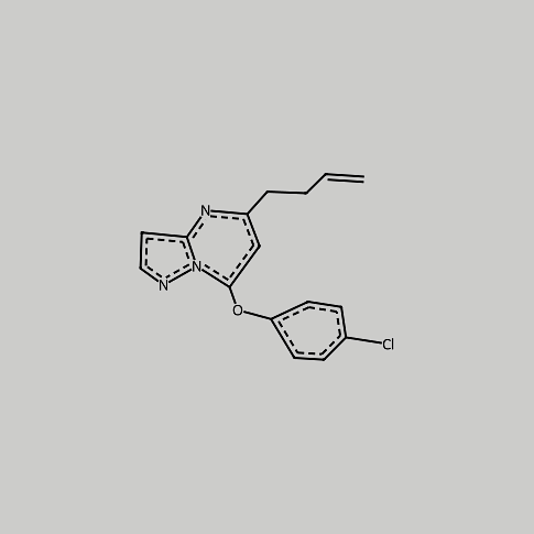 C=CCCc1cc(Oc2ccc(Cl)cc2)n2nccc2n1